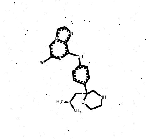 CN(C)CC1(c2ccc(Nc3nc(Br)cn4ccnc34)cc2)CNCCO1